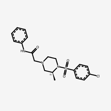 C[C@H]1CN(CC(=O)Nc2ccccc2)CCN1S(=O)(=O)c1ccc(Cl)cc1